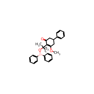 COC1=C(C(C)(C)OB(c2ccccc2)c2ccccc2)C(=O)CC(c2ccccc2)C1